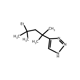 CCC(C)(C)CC(C)(C)c1c[nH]nn1